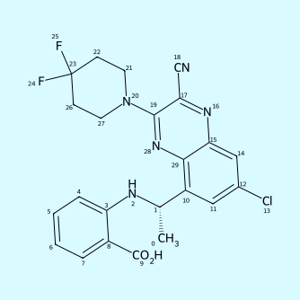 C[C@H](Nc1ccccc1C(=O)O)c1cc(Cl)cc2nc(C#N)c(N3CCC(F)(F)CC3)nc12